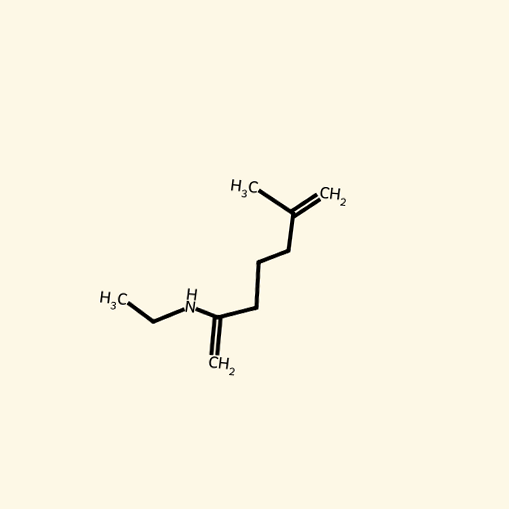 C=C(C)CCCC(=C)NCC